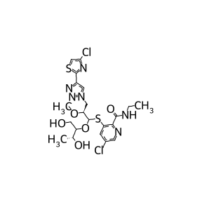 CCNC(=O)c1ncc(Cl)cc1SC(OC(CO)[C@@H](C)O)[C@H](Cn1cc(-c2nc(Cl)cs2)nn1)OC